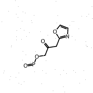 O=POCC(=O)Cc1ncco1